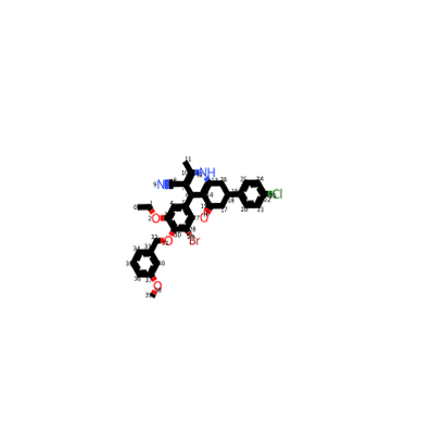 CCOc1cc(C2C(C#N)=C(C)NC3=C2C(=O)CC(c2ccc(Cl)cc2)C3)cc(Br)c1OCc1cccc(OC)c1